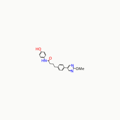 COc1ncc(-c2ccc(CCCC(=O)Nc3ccc(O)cc3)cc2)cn1